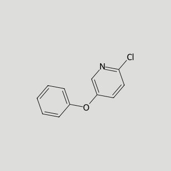 Clc1ccc(Oc2ccccc2)cn1